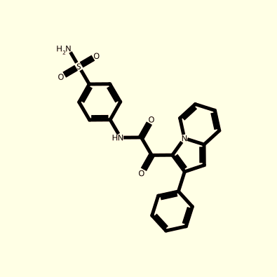 NS(=O)(=O)c1ccc(NC(=O)C(=O)c2c(-c3ccccc3)cc3ccccn23)cc1